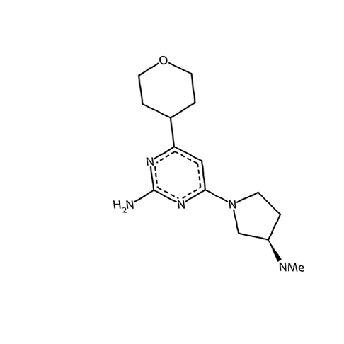 CN[C@@H]1CCN(c2cc(C3CCOCC3)nc(N)n2)C1